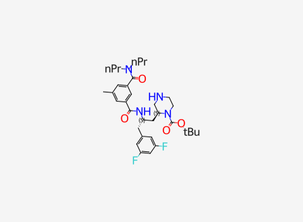 CCCN(CCC)C(=O)c1cc(C)cc(C(=O)N[C@@H](Cc2cc(F)cc(F)c2)C[C@H]2CNCCN2C(=O)OC(C)(C)C)c1